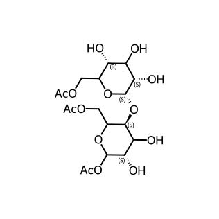 CC(=O)OCC1O[C@@H](O[C@@H]2C(COC(C)=O)OC(OC(C)=O)[C@@H](O)C2O)[C@@H](O)C(O)[C@H]1O